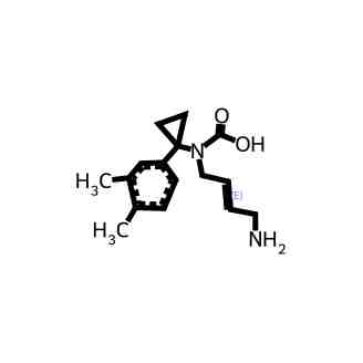 Cc1ccc(C2(N(C/C=C/CN)C(=O)O)CC2)cc1C